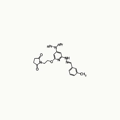 CCCN(CCC)c1cc(N/N=C/c2cccc(C)c2)nc(OCCN2C(=O)CCC2=O)c1